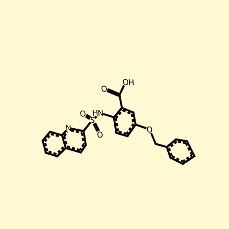 O=C(O)c1cc(OCc2ccccc2)ccc1NS(=O)(=O)c1ccc2ccccc2n1